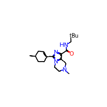 CC1CC=C(c2nc(C(=O)NCC(C)(C)C)c3n2CCN(C)C3)CC1